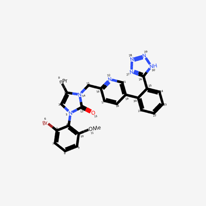 CCCc1cn(-c2c(Br)cccc2OC)c(=O)n1Cc1ccc(-c2ccccc2-c2nnn[nH]2)cn1